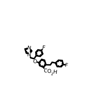 O=C(O)c1cc(OC(Cn2ccnc2)c2ccc(F)cc2)ccc1CCc1ccc(F)cc1